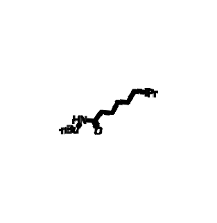 CCC[CH]NC(=O)CCCCCC(C)C